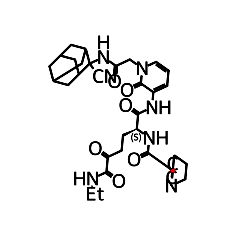 CCNC(=O)C(=O)CC[C@H](NC(=O)C1CN2CCC1CC2)C(=O)Nc1cccn(CC(=O)NC2(C#N)C3CC4CC(C3)CC2C4)c1=O